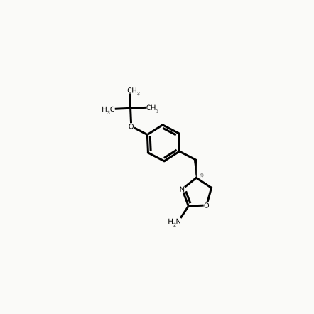 CC(C)(C)Oc1ccc(C[C@H]2COC(N)=N2)cc1